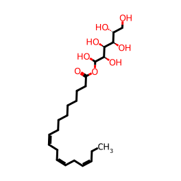 CC/C=C\C/C=C\C/C=C\CCCCCCCC(=O)OC(O)[C@H](O)[C@@H](O)[C@H](O)[C@H](O)CO